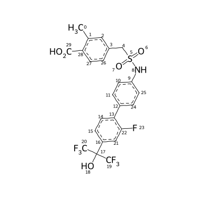 Cc1cc(CS(=O)(=O)Nc2ccc(-c3ccc(C(O)(C(F)(F)F)C(F)(F)F)cc3F)cc2)ccc1C(=O)O